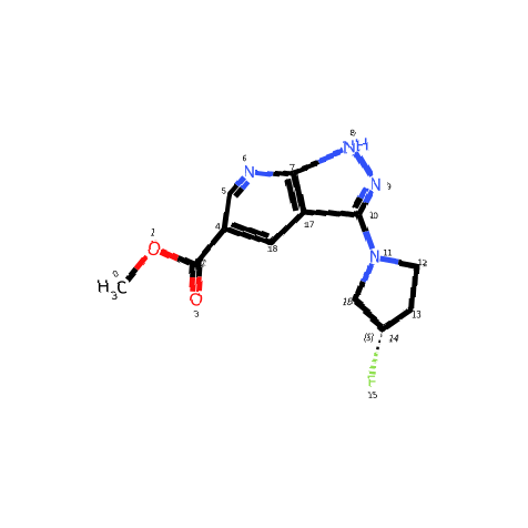 COC(=O)c1cnc2[nH]nc(N3CC[C@H](F)C3)c2c1